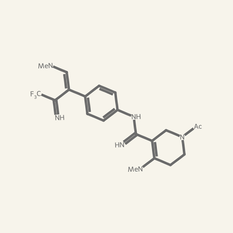 CN/C=C(\C(=N)C(F)(F)F)c1ccc(NC(=N)C2=C(NC)CCN(C(C)=O)C2)cc1